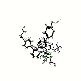 CCCc1ccc(-c2cccc3c2C=C(CC(C)(C)C)[CH]3[Zr]([Cl])([Cl])([CH]2C(CC(C)(C)C)=Cc3c(-c4ccc(CCC)cc4)cccc32)[SiH](C)CCC)cc1